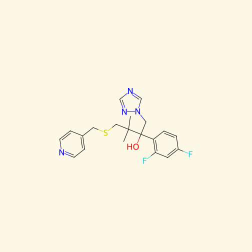 CC(C)(CSCc1ccncc1)C(O)(Cn1cncn1)c1ccc(F)cc1F